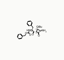 CC(C)CO[C@H]1[C@@H](C(=O)[C@H](Cc2ccccc2)NC(=O)OCc2ccccc2)C(=O)N1N